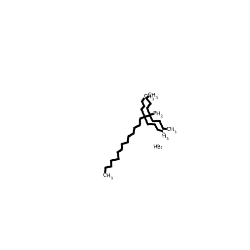 Br.CCCCCCCCCCCCCCC(CCCC)(CCCC)C(P)(CCCC)CCCC